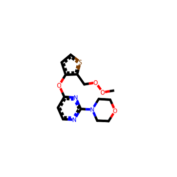 COOCc1sccc1Oc1ccnc(N2CCOCC2)n1